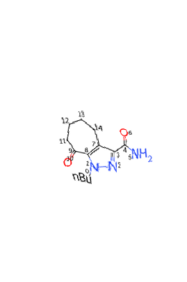 CCCCn1nc(C(N)=O)c2c1C(=O)CCCC2